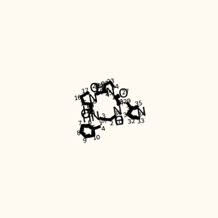 O=C1C[C@H](Cc2ccccc2)NC(=O)[C@@H]2CCCN2C(=O)[C@@H]2CCCN2C(=O)[C@H](Cc2cccnc2)N1